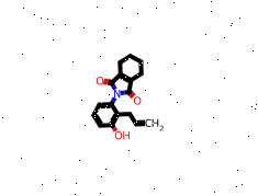 C=CCc1c(O)cccc1N1C(=O)C2=C(CCCC2)C1=O